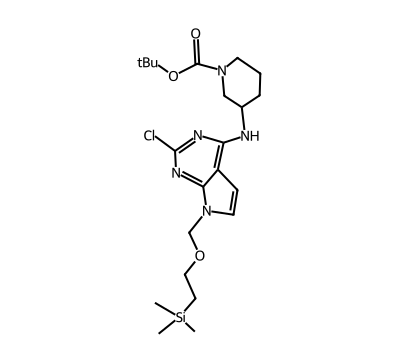 CC(C)(C)OC(=O)N1CCCC(Nc2nc(Cl)nc3c2ccn3COCC[Si](C)(C)C)C1